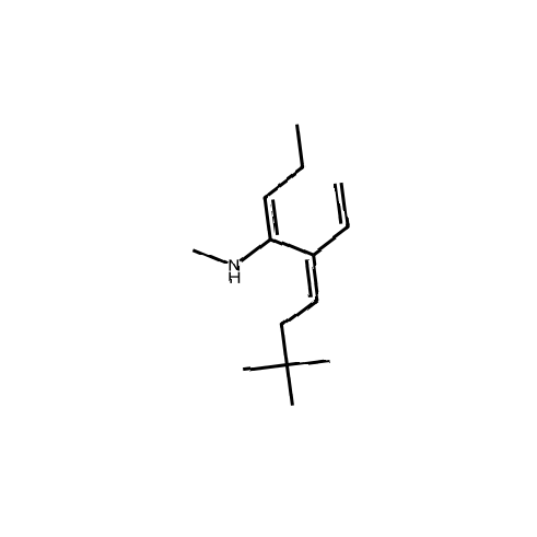 C=CC(=C/CC(C)(C)C)/C(=C\CC)NC